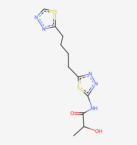 CC(O)C(=O)Nc1nnc(CCCCc2nncs2)s1